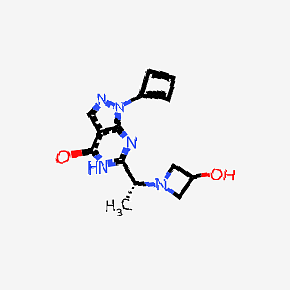 C[C@H](c1nc2c(cnn2C2=CC=C2)c(=O)[nH]1)N1CC(O)C1